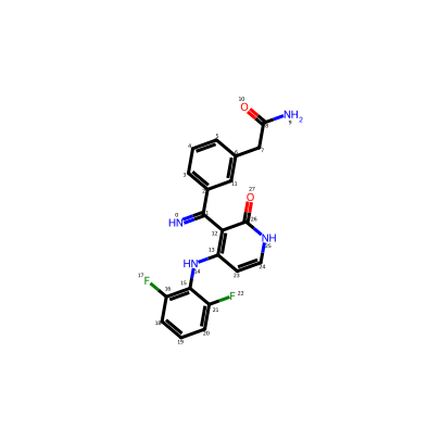 N=C(c1cccc(CC(N)=O)c1)c1c(Nc2c(F)cccc2F)cc[nH]c1=O